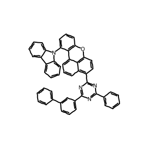 c1ccc(-c2cccc(-c3nc(-c4ccccc4)nc(-c4ccc5c6c(cccc46)-c4c(cccc4-n4c6ccccc6c6ccccc64)O5)n3)c2)cc1